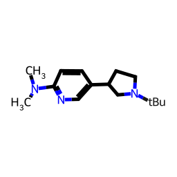 CN(C)c1ccc(C2CCN(C(C)(C)C)C2)cn1